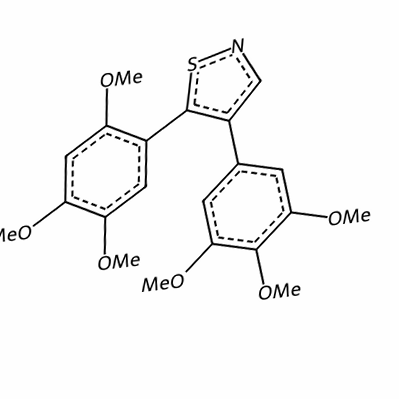 COc1cc(OC)c(-c2sncc2-c2cc(OC)c(OC)c(OC)c2)cc1OC